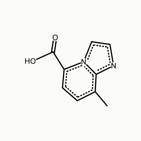 Cc1ccc(C(=O)O)n2ccnc12